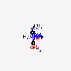 C=NN(/C(CCc1ccc(S(C)(=O)=O)cc1)=C(\N)C(=O)NC1CC1)c1ccc(C(=O)NCC)cc1